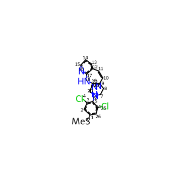 CSc1cc(Cl)c(N2CCC34C=Cc5cccnc5NC3(C2)NC=N4)c(Cl)c1